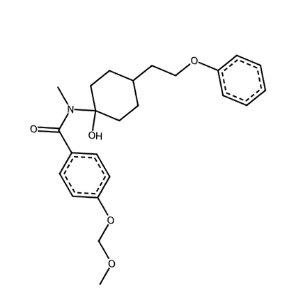 COCOc1ccc(C(=O)N(C)C2(O)CCC(CCOc3ccccc3)CC2)cc1